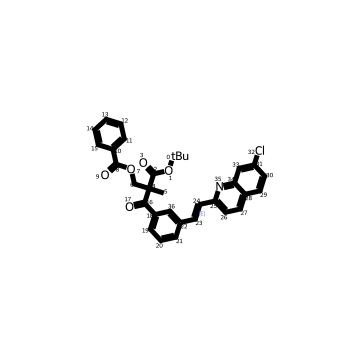 CC(C)(C)OC(=O)C(C)(COC(=O)c1ccccc1)C(=O)c1cccc(/C=C/c2ccc3ccc(Cl)cc3n2)c1